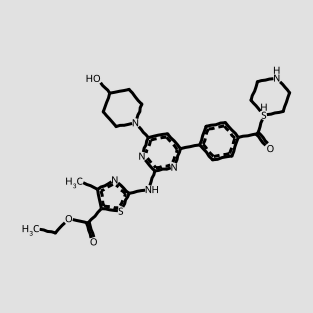 CCOC(=O)c1sc(Nc2nc(-c3ccc(C(=O)[SH]4CCNCC4)cc3)cc(N3CCC(O)CC3)n2)nc1C